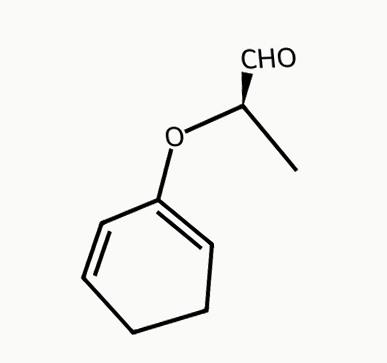 C[C@H](C=O)OC1=CCCC=C1